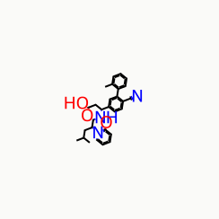 Cc1ccccc1-c1cc(C(CC(=O)O)NCC(CC(C)C)n2ccccc2=O)ccc1C#N